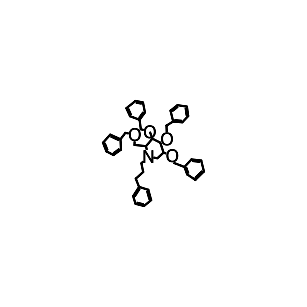 c1ccc(CCCN2CC(OCc3ccccc3)C(OCc3ccccc3)C(OCc3ccccc3)C2COCc2ccccc2)cc1